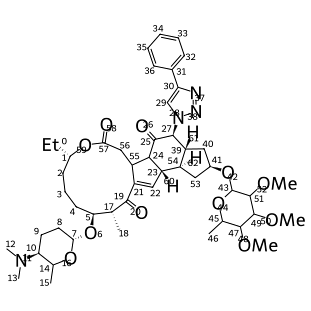 CC[C@H]1CCC[C@H](O[C@H]2CC[C@H](N(C)C)C(C)O2)[C@@H](C)C(=O)C2=C[C@@H]3C(C(=O)[C@@H](n4cc(-c5ccccc5)nn4)[C@@H]4C[C@@H](OC5OC(C)C(OC)C(OC)C5OC)C[C@H]43)C2CC(=O)O1